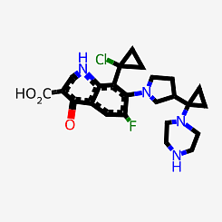 O=C(O)c1c[nH]c2c(C3(Cl)CC3)c(N3CCC(C4(N5CCNCC5)CC4)C3)c(F)cc2c1=O